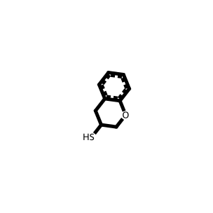 SC1COc2ccccc2C1